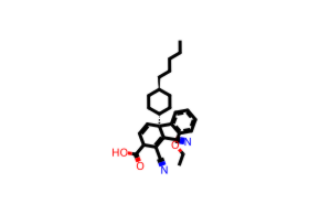 CCCCC[C@H]1CC[C@H](C2(c3ccccc3OCC)C=CC(C(=O)O)C(C#N)=C2C#N)CC1